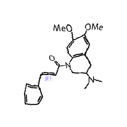 COc1cc2c(cc1OC)N(C(=O)/C=C/c1ccccc1)CC(N(C)C)C2